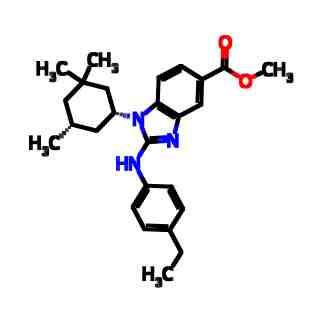 CCc1ccc(Nc2nc3cc(C(=O)OC)ccc3n2[C@@H]2C[C@H](C)CC(C)(C)C2)cc1